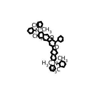 Cc1ccccc1N(c1ccc2cc3c(cc2c1)oc1c(-c2ccccc2)c2oc4cc5cc(N(c6ccccc6C)c6c(C)cccc6C)ccc5cc4c2cc13)c1c(C)cccc1C